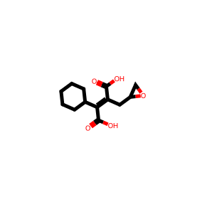 O=C(O)/C(CC1CO1)=C(/C(=O)O)C1CCCCC1